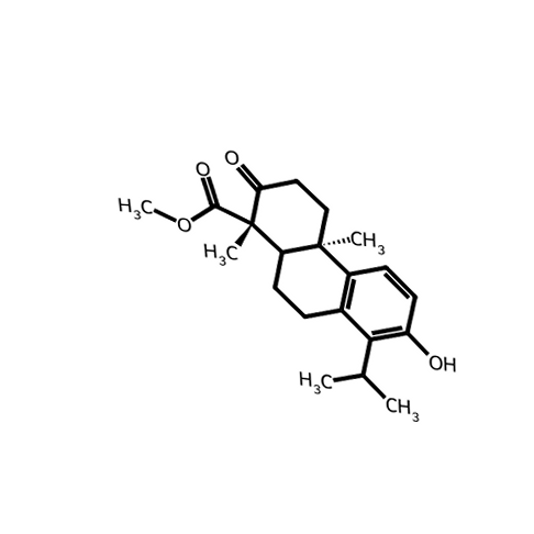 COC(=O)[C@]1(C)C(=O)CC[C@@]2(C)c3ccc(O)c(C(C)C)c3CCC12